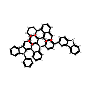 c1ccc(-n2c3ccccc3c3cccc(-c4ccccc4N(c4ccc(-c5ccc6oc7ccccc7c6c5)cc4)c4ccccc4-c4cccc5cccc(C6CCCCC6)c45)c32)cc1